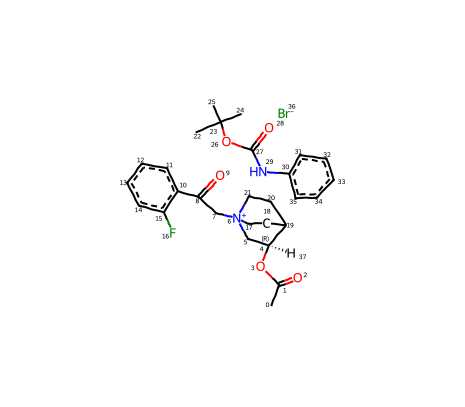 CC(=O)O[C@H]1C[N+]2(CC(=O)c3ccccc3F)CCC1CC2.CC(C)(C)OC(=O)Nc1ccccc1.[Br-]